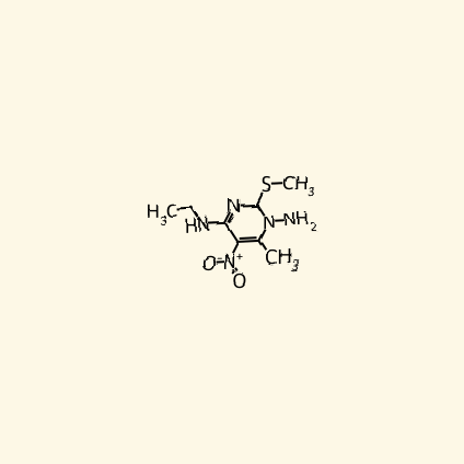 CCNC1=NC(SC)N(N)C(C)=C1[N+](=O)[O-]